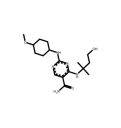 COC1CCC(Nc2ncc(C(N)=O)c(NC(C)(C)CCO)n2)CC1